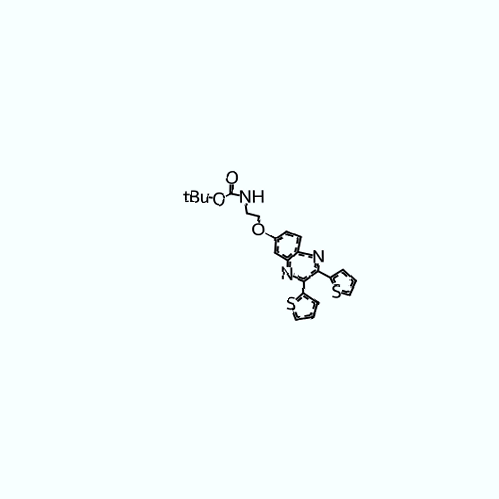 CC(C)(C)OC(=O)NCCOc1ccc2nc(-c3cccs3)c(-c3cccs3)nc2c1